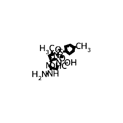 Cc1ccc(S(=O)(=O)n2c(C)cc3nc(NN)cnc32)cc1.O=CO